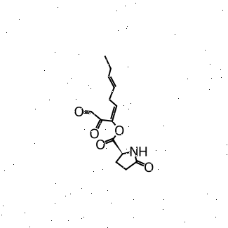 CCC=CCC=C(OC(=O)[C@@H]1CCC(=O)N1)C(=O)C=O